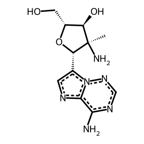 C[C@@]1(N)[C@H](O)[C@@H](CO)O[C@H]1c1cnc2c(N)ncnn12